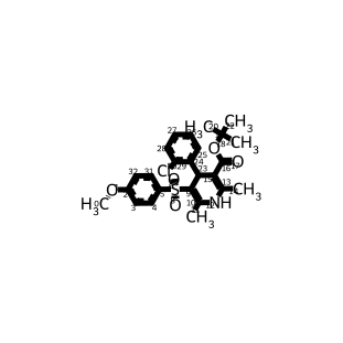 COc1ccc(S(=O)(=O)C2=C(C)NC(C)=C(C(=O)OC(C)(C)C)C2c2ccccc2Cl)cc1